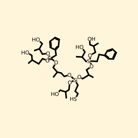 CC(CO)CCO[Si](Cc1ccccc1)(OCC(C)CO)OCC(C)CCO[Si](CCCS)(OCC(C)CO)OCC(C)CO[Si](CCc1ccccc1)(CC(C)CO)OCC(C)CO